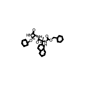 C[C@](NC(=O)OCc1ccccc1)(C(=O)N[C@@H]1C(=O)N[C@H]1Oc1ccccc1)c1ccc2ccccc2c1